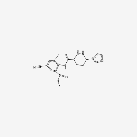 COC(=O)c1cc(C#N)cc(F)c1NC(=O)C1CCC(n2ccnc2)NN1